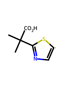 CC(C)(C(=O)O)c1nc[c]s1